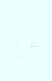 CC1C(N)CC(C)(C)N2CCCC12